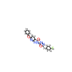 O=C(Nc1nnc(Cc2ccc(F)cc2)o1)c1ccc(Oc2ccccc2)nc1